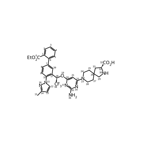 CCOC(=O)c1ccccc1-c1ccc(-n2ccc(C)n2)c([C@@H](Oc2cc(N3CCC4(CC3)CN[C@H](C(=O)O)C4)nc(N)n2)C(F)(F)F)c1